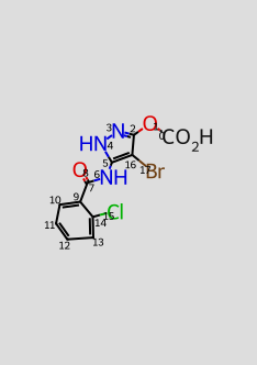 O=C(O)Oc1n[nH]c(NC(=O)c2ccccc2Cl)c1Br